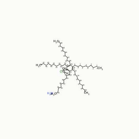 CCCCCCCCCCc1c(CCCCCCCCCC)c(CCCCCCCCCC)c(C(C)(C)Cl)c(CCCCCCCCCC)c1CCCCCCCCCC.N